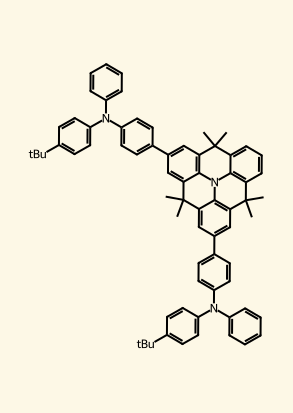 CC(C)(C)c1ccc(N(c2ccccc2)c2ccc(-c3cc4c5c(c3)C(C)(C)c3cc(-c6ccc(N(c7ccccc7)c7ccc(C(C)(C)C)cc7)cc6)cc6c3N5c3c(cccc3C6(C)C)C4(C)C)cc2)cc1